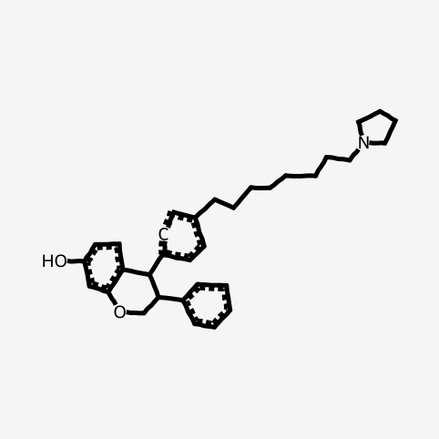 Oc1ccc2c(c1)OCC(c1ccccc1)C2c1ccc(CCCCCCCCN2CCCC2)cc1